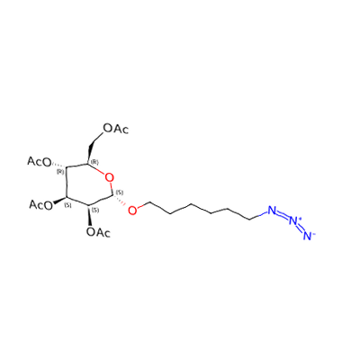 CC(=O)OC[C@H]1O[C@H](OCCCCCCN=[N+]=[N-])[C@@H](OC(C)=O)[C@@H](OC(C)=O)[C@@H]1OC(C)=O